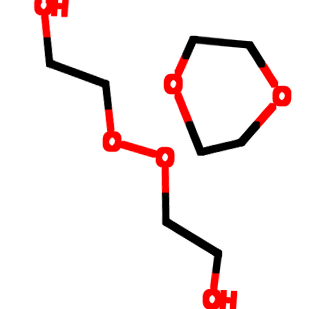 C1COCCO1.OCCOOCCO